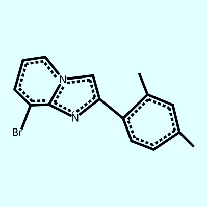 Cc1ccc(-c2cn3cccc(Br)c3n2)c(C)c1